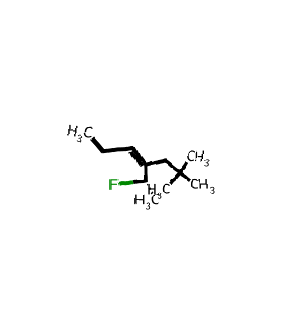 CC/C=C(/CC(C)(C)C)[C@H](C)F